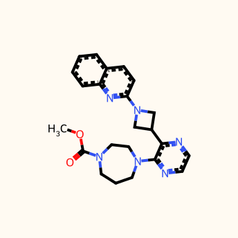 COC(=O)N1CCCN(c2nccnc2C2CN(c3ccc4ccccc4n3)C2)CC1